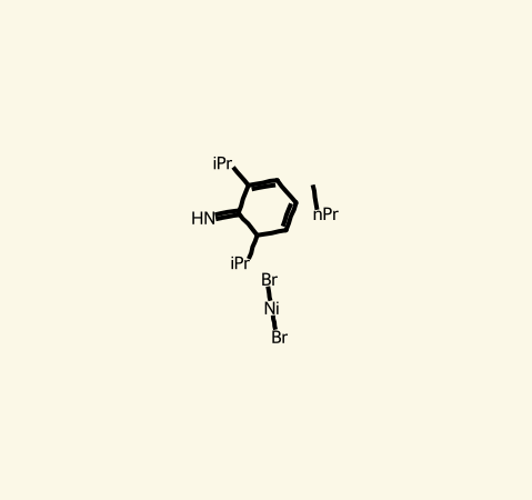 CC(C)C1=CC=CC(C(C)C)C1=N.CCCC.[Br][Ni][Br]